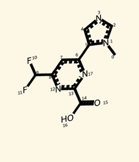 Cn1cncc1-c1cc(C(F)F)nc(C(=O)O)n1